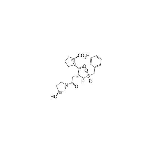 O=C(O)[C@@H]1CCCN1C(=O)[C@@H](CC(=O)N1CC[C@H](O)C1)NS(=O)(=O)Cc1ccccc1